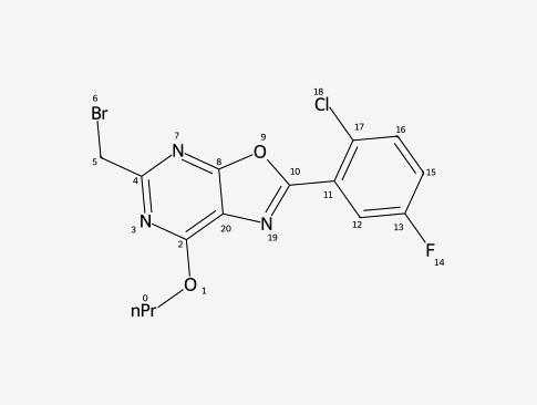 CCCOc1nc(CBr)nc2oc(-c3cc(F)ccc3Cl)nc12